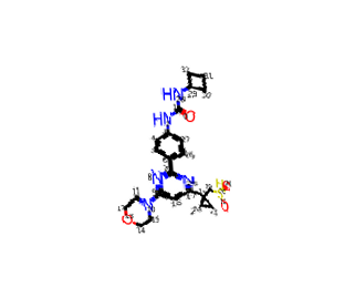 O=C(Nc1ccc(-c2nc(N3CCOCC3)cc(C3(C[SH](=O)=O)CC3)n2)cc1)NC1CCC1